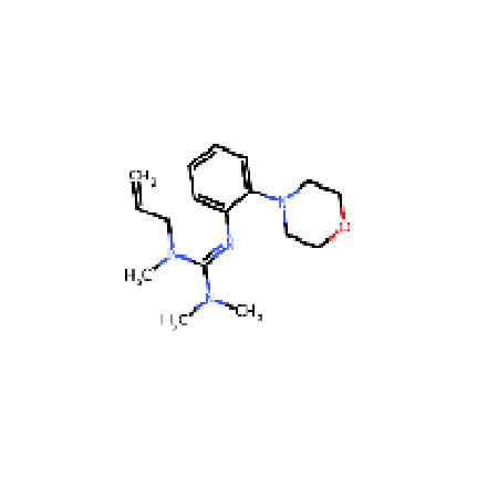 C=CCN(C)C(=Nc1ccccc1N1CCOCC1)N(C)C